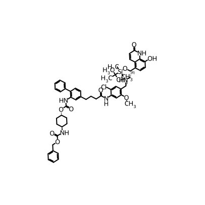 COc1cc(NC(=O)CCCc2ccc(-c3ccccc3)c(NC(=O)O[C@H]3CC[C@H](NC(=O)OCc4ccccc4)CC3)c2)c(Cl)cc1CNC[C@H](O[Si](C)(C)C(C)(C)C)c1ccc(O)c2[nH]c(=O)ccc12